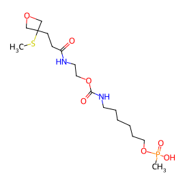 CSC1(CCC(=O)NCCOC(=O)NCCCCCCOP(C)(=O)O)COC1